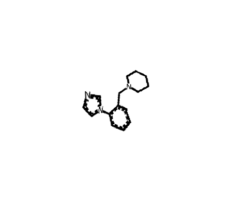 c1ccc(-n2ccnc2)c(CN2CCCCC2)c1